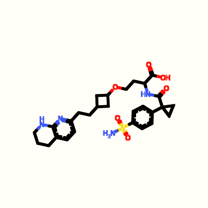 NS(=O)(=O)c1ccc(C2(C(=O)NC(CCOC3CC(CCc4ccc5c(n4)NCCC5)C3)C(=O)O)CC2)cc1